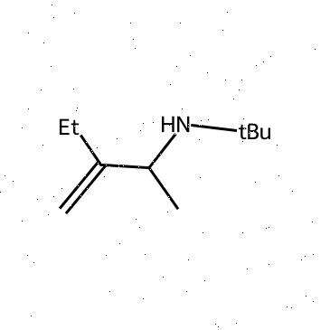 C=C(CC)C(C)NC(C)(C)C